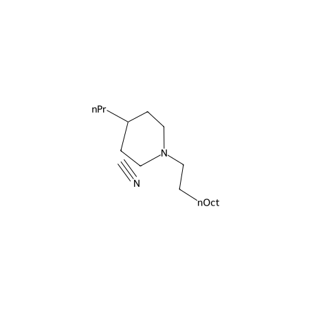 C#N.CCCCCCCCCCN1CCC(CCC)CC1